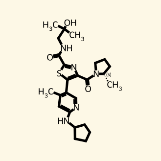 Cc1cc(NC2CCCC2)ncc1-c1sc(C(=O)NCC(C)(C)O)nc1C(=O)N1CCC[C@@H]1C